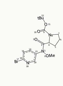 CON(C(=O)C1CCCN1C(=O)OC(C)(C)C)c1ccc(Br)nc1